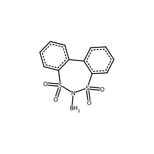 BN1S(=O)(=O)c2ccccc2-c2ccccc2S1(=O)=O